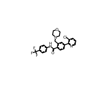 O=C(Nc1ccc(C(F)(F)F)cc1)c1ccc(-c2ncccc2Cl)cc1CN1CCOCC1